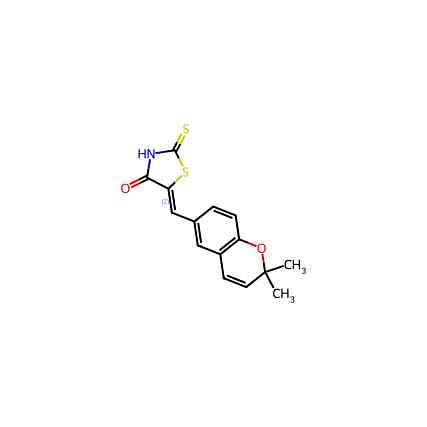 CC1(C)C=Cc2cc(/C=C3\SC(=S)NC3=O)ccc2O1